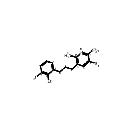 CCc1c(F)cccc1CCCc1cc(Br)c(C)nc1N